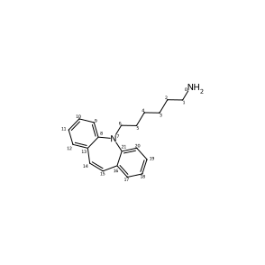 NCCCCCCN1c2ccccc2C=Cc2ccccc21